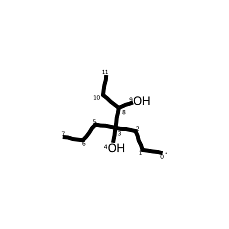 [CH2]CCC(O)(CCC)C(O)CC